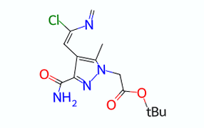 C=N/C(Cl)=C\c1c(C(N)=O)nn(CC(=O)OC(C)(C)C)c1C